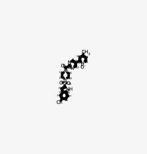 Cc1cc[n+]([O-])c(-c2cnc(C(=O)N3CCN(S(=O)(=O)c4cc5cc(Cl)ccc5[nH]4)CC3)nc2)c1